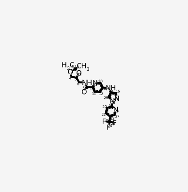 CC1(C)OCC(CNC(=O)c2ccc(Nc3cnn(-c4ccc(C(F)(F)F)cn4)c3)cn2)O1